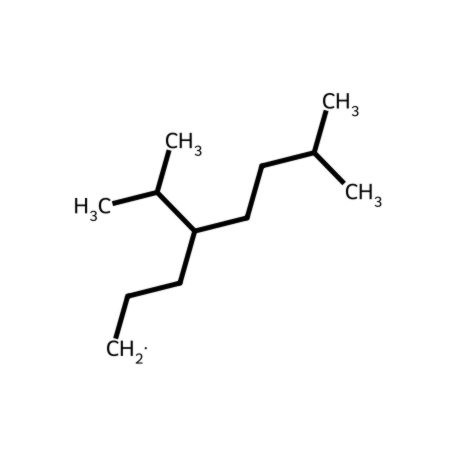 [CH2]CCC(CCC(C)C)C(C)C